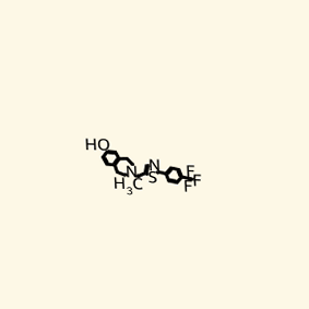 CC(c1cnc(-c2ccc(C(F)(F)F)cc2)s1)N1CCc2ccc(O)cc2CC1